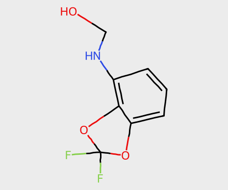 OCNc1cccc2c1OC(F)(F)O2